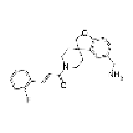 NCc1ccc2c(c1)C1(CCN(C(=O)C=Cc3ccccc3F)CC1)CO2